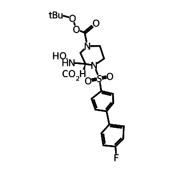 CC(C)(C)OOC(=O)N1CCN(S(=O)(=O)c2ccc(-c3ccc(F)cc3)cc2)[C@@](NO)(C(=O)O)C1